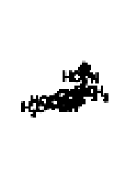 CC[C@]1(O)CC[C@@]2(C)C(=CC[C@H]3[C@@H]4CC[C@H]([C@H](C)CC[C@H](O)C5(C#N)CCC5)[C@@]4(C)CC[C@@H]32)C1